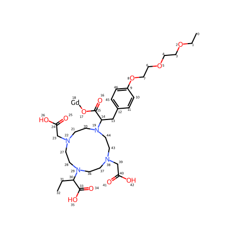 CCOCCOCCOc1ccc(CC(C(=O)[O][Gd])N2CCN(CC(=O)O)CCN(C(CC)C(=O)O)CCN(CC(=O)O)CC2)cc1